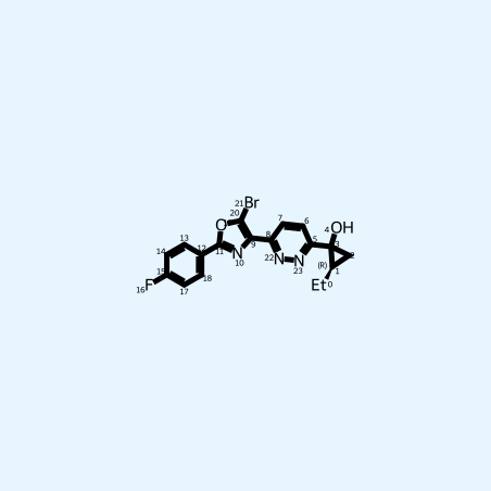 CC[C@@H]1CC1(O)c1ccc(-c2nc(-c3ccc(F)cc3)oc2Br)nn1